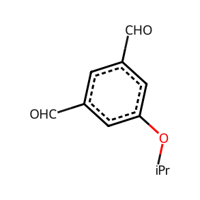 CC(C)Oc1cc(C=O)cc(C=O)c1